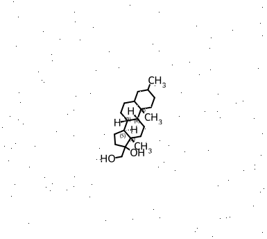 CC1CC[C@@]2(C)C(CC[C@@H]3[C@H]2CC[C@@]2(C)[C@H]3CCC2(O)CO)C1